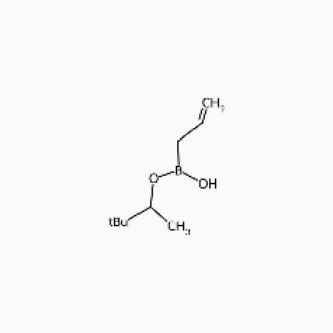 C=CCB(O)OC(C)C(C)(C)C